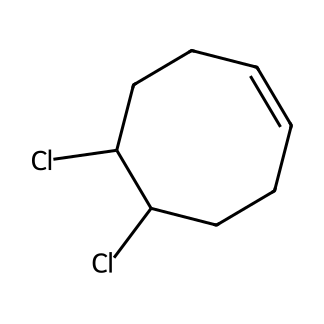 ClC1CC/C=C\CCC1Cl